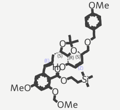 COCOc1cc(OC)cc(/C=C/C[C@@H]2OC(C)(C)O[C@@H]2C(O)/C=C\[C@H](C)COCc2ccc(OC)cc2)c1C(=O)OCC[Si](C)(C)C